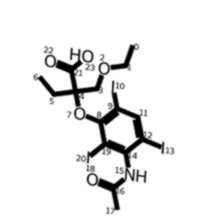 CCOCC(CC)(Oc1c(I)cc(I)c(NC(C)=O)c1I)C(=O)O